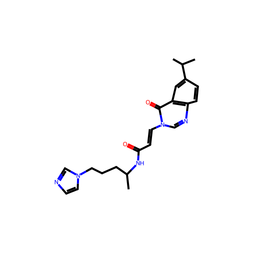 CC(CCCn1ccnc1)NC(=O)C=Cn1cnc2ccc(C(C)C)cc2c1=O